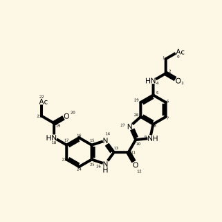 CC(=O)CC(=O)Nc1ccc2[nH]c(C(=O)c3nc4cc(NC(=O)CC(C)=O)ccc4[nH]3)nc2c1